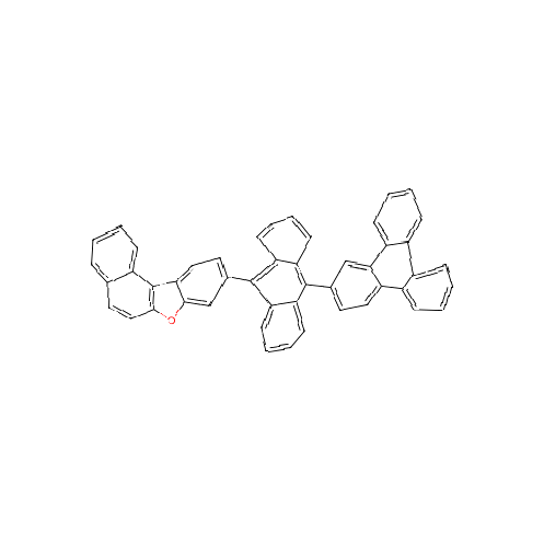 c1ccc2c(c1)ccc1oc3cc(-c4c5ccccc5c(-c5ccc6c7ccccc7c7ccccc7c6c5)c5ccccc45)ccc3c12